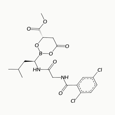 COC(=O)[C@@H]1CC(=O)OB([C@H](CC(C)C)NC(=O)CNC(=O)c2cc(Cl)ccc2Cl)O1